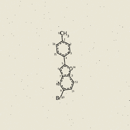 Cc1ccc(-c2cc3nc(Br)ccc3o2)cc1